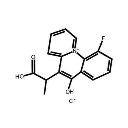 CC(C(=O)O)c1c(O)c2cccc(F)c2[n+]2ccccc12.[Cl-]